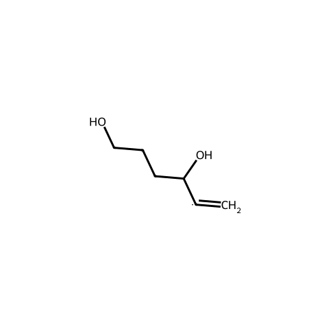 C=[C]C(O)CCCO